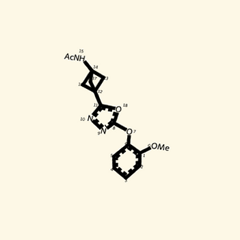 COc1ccccc1Oc1nnc(C23CC(NC(C)=O)(C2)C3)o1